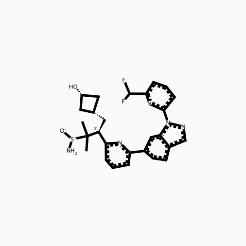 CC(C)([C@@H](C[C@H]1C[C@@H](O)C1)c1cccc(-c2ccc3cnn(-c4cccc(C(F)F)n4)c3c2)n1)[S+](N)[O-]